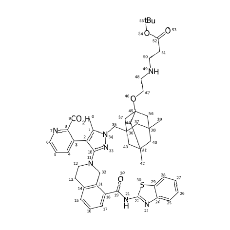 Cc1c(-c2cccnc2C(=O)O)c(N2CCc3cccc(C(=O)Nc4nc5ccccc5s4)c3C2)nn1CC12CC3(C)CC(C)(C1)CC(OCCNCCC(=O)OC(C)(C)C)(C3)C2